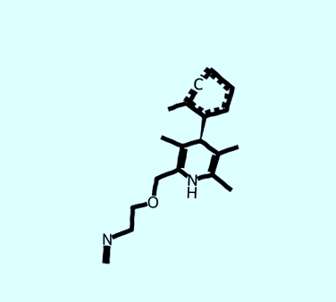 C=NCCOCC1=C(C)[C@@H](c2ccccc2C)C(C)=C(C)N1